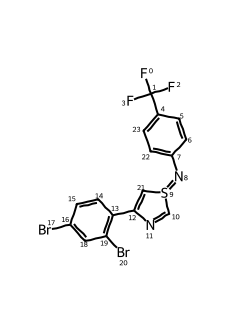 FC(F)(F)c1ccc(N=S2C=NC(c3ccc(Br)cc3Br)=C2)cc1